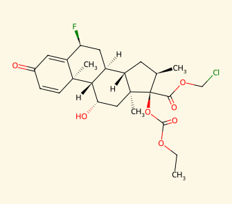 CCOC(=O)O[C@]1(C(=O)OCCl)[C@H](C)C[C@H]2[C@@H]3C[C@H](F)C4=CC(=O)C=C[C@]4(C)[C@H]3[C@@H](O)C[C@@]21C